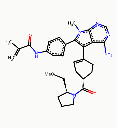 C=C(C)C(=O)Nc1ccc(-c2c(C3=CC[C@@H](C(=O)N4CCC[C@H]4COC)CC3)c3c(N)ncnc3n2C)cc1